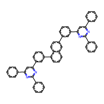 c1ccc(-c2cc(-c3cccc(-c4ccc5c(-c6cccc(-c7cc(-c8ccccc8)nc(-c8ccccc8)n7)c6)cccc5c4)c3)nc(-c3ccccc3)n2)cc1